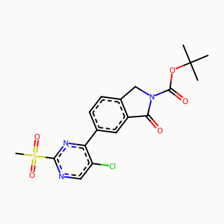 CC(C)(C)OC(=O)N1Cc2ccc(-c3nc(S(C)(=O)=O)ncc3Cl)cc2C1=O